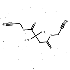 C#CCOC(=O)CC(C)(OC(C)=O)C(=O)OCC#C